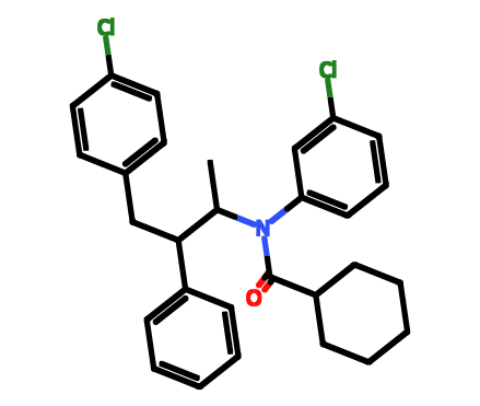 CC(C(Cc1ccc(Cl)cc1)c1ccccc1)N(C(=O)C1CCCCC1)c1cccc(Cl)c1